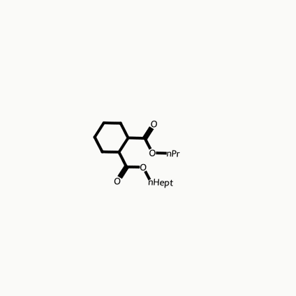 CCCCCCCOC(=O)C1CCCCC1C(=O)OCCC